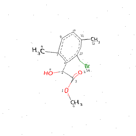 COC(=O)C(O)c1c(C)ccc(C)c1Br